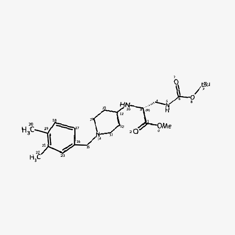 COC(=O)[C@@H](CNC(=O)OC(C)(C)C)NC1CCN(Cc2ccc(C)c(C)c2)CC1